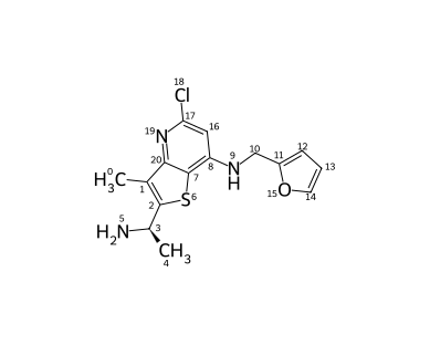 Cc1c([C@@H](C)N)sc2c(NCc3ccco3)cc(Cl)nc12